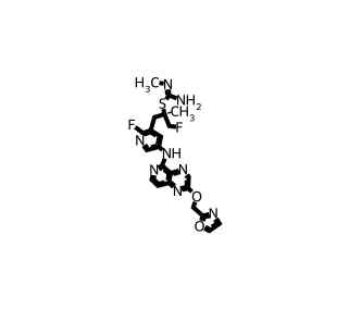 C/N=C(/N)S[C@@](C)(CF)Cc1cc(Nc2nccc3nc(OCc4ncco4)cnc23)cnc1F